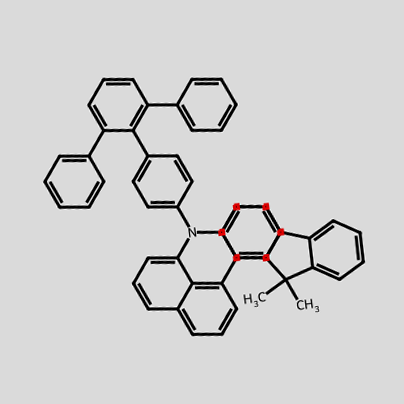 CC1(C)c2ccccc2-c2ccc(N(c3ccc(-c4c(-c5ccccc5)cccc4-c4ccccc4)cc3)c3cccc4cccc(C5CCCCC5)c34)cc21